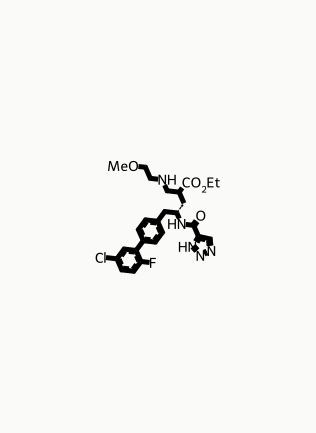 CCOC(=O)C(CNCCOC)C[C@@H](Cc1ccc(-c2cc(Cl)ccc2F)cc1)NC(=O)c1cnn[nH]1